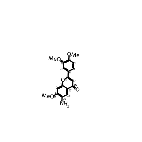 COc1cc2oc(-c3ccc(OC)c(OC)c3)cc(=O)c2cc1N